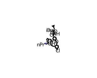 CCC/C=C/[C@H](O)[C@@H]1CC[C@H]1CN1CCCCc2cc(Cl)ccc2COc2ccc(C(=O)NS(=O)(=O)[C@H](CC3CC3)[C@@H](C)CC)cc21